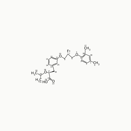 Cc1ccc(OC[C@@H](F)COc2cccc(C[C@H](OC(C)C)C(=O)O)c2)c(C)c1